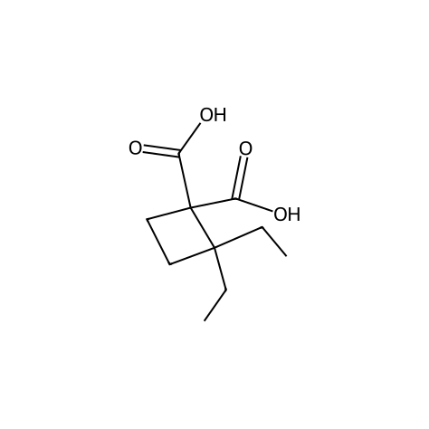 CCC1(CC)CCC1(C(=O)O)C(=O)O